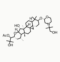 CC(=O)O[C@@H]([C@H]1C[C@@H](C)C2[C@H](O1)[C@H](O)[C@@]1(C)[C@@H]3CC[C@H]4C(C)(C)[C@@H](O[C@H]5CN(C(C)(C)CO)CCO5)CC[C@@]45C[C@@]35CC[C@]21C)C(C)(C)O